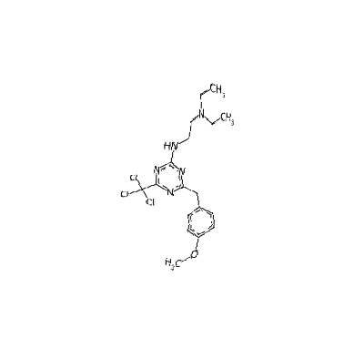 CCN(CC)CCNc1nc(Cc2ccc(OC)cc2)nc(C(Cl)(Cl)Cl)n1